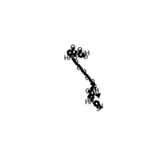 CN(C(=O)c1c(C=O)cccc1NCCOCCOCCOCCOCCOC(C)(C)C(F)CNC(=O)c1cnc(Nc2ccc3ncsc3c2)cc1NC1CC1)C1CCC(=O)NC1=O